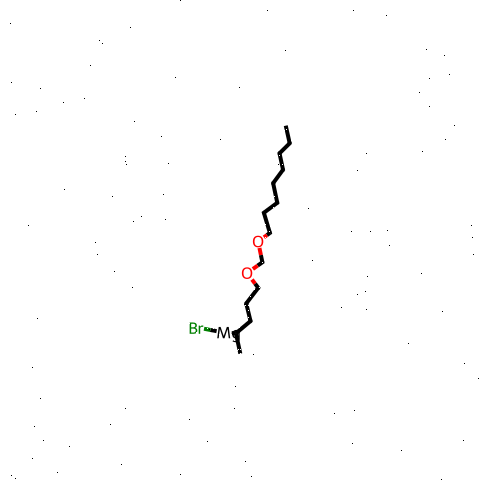 CCCCCCCCOCOCCC[CH](C)[Mg][Br]